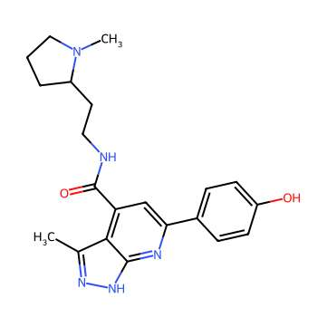 Cc1n[nH]c2nc(-c3ccc(O)cc3)cc(C(=O)NCCC3CCCN3C)c12